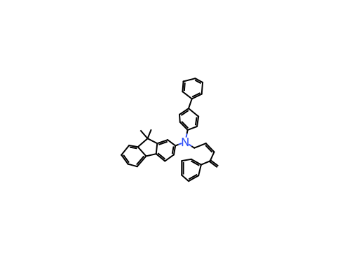 C=C(/C=C\CN(c1ccc(-c2ccccc2)cc1)c1ccc2c(c1)C(C)(C)c1ccccc1-2)c1ccccc1